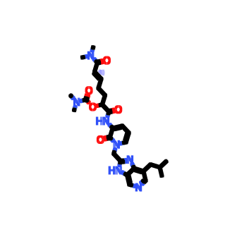 CC(C)Cc1cncc2[nH]c(Cn3cccc(NC(=O)C(CC/C=C/C(=O)N(C)C)OC(=O)N(C)C)c3=O)nc12